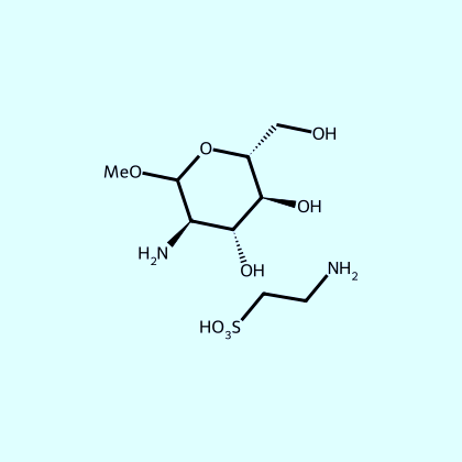 COC1O[C@H](CO)[C@@H](O)[C@H](O)[C@H]1N.NCCS(=O)(=O)O